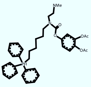 CNCCN(CCCCCC[PH](c1ccccc1)(c1ccccc1)c1ccccc1)C(=O)Oc1ccc(OC(C)=O)c(OC(C)=O)c1